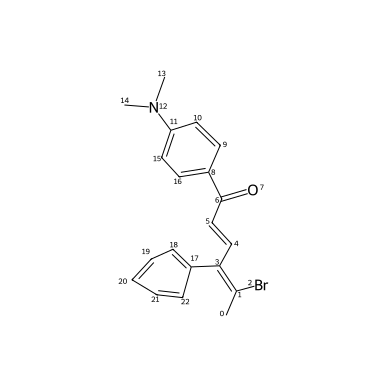 C/C(Br)=C(/C=C/C(=O)c1ccc(N(C)C)cc1)c1ccccc1